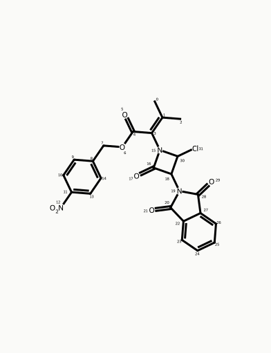 CC(C)=C(C(=O)OCc1ccc([N+](=O)[O-])cc1)N1C(=O)C(N2C(=O)c3ccccc3C2=O)C1Cl